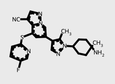 Cc1c(-c2cc(Sc3ccc(F)cn3)c3c(C#N)cnn3c2)cnn1C1CCC(C)(N)CC1